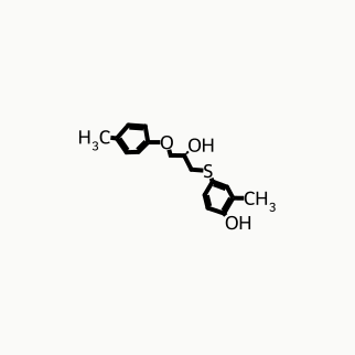 Cc1ccc(OC[C@H](O)CSc2ccc(O)c(C)c2)cc1